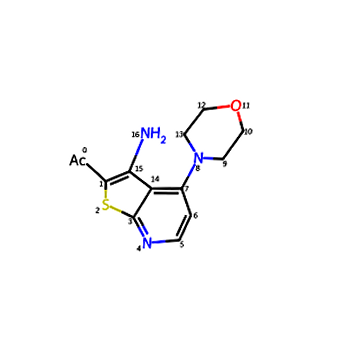 CC(=O)c1sc2nccc(N3CCOCC3)c2c1N